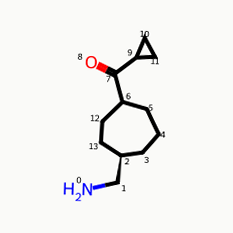 NC[C@@H]1CCCC(C(=O)C2CC2)CC1